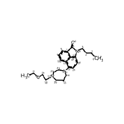 CCCCN1C(=O)c2cccc3c(N4CCCN(CCOCC)CC4)ccc1c23